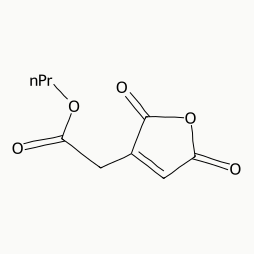 CCCOC(=O)CC1=CC(=O)OC1=O